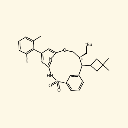 Cc1cccc(C)c1-c1cc2nc(n1)NS(=O)(=O)c1cccc(c1)C(C1CC(C)(C)C1)[C@H](CC(C)(C)C)CO2